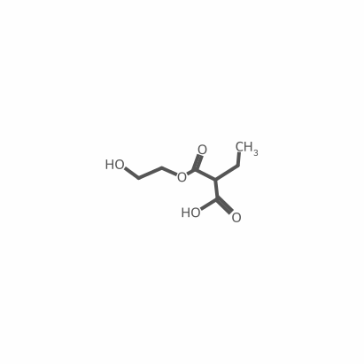 CCC(C(=O)O)C(=O)OCCO